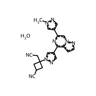 Cn1cc(-c2cn3nccc3c(-c3cnn(C4(CC#N)CC(C#N)C4)c3)n2)cn1.O